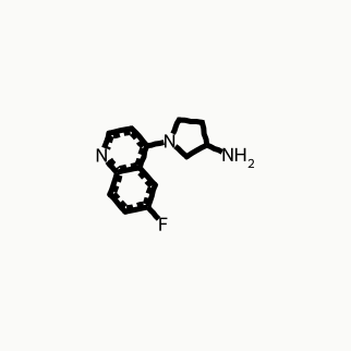 NC1CCN(c2ccnc3ccc(F)cc23)C1